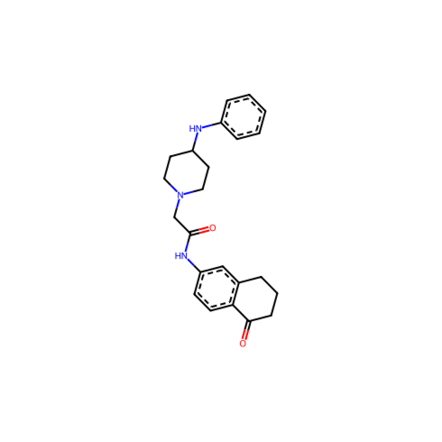 O=C(CN1CCC(Nc2ccccc2)CC1)Nc1ccc2c(c1)CCCC2=O